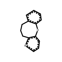 c1ccc2c(c1)CCCc1ncccc1O2